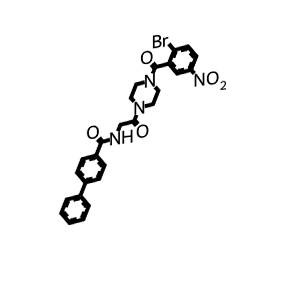 O=C(NCC(=O)N1CCN(C(=O)c2cc([N+](=O)[O-])ccc2Br)CC1)c1ccc(-c2ccccc2)cc1